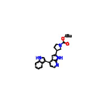 CC(C)(C)OC(=O)N1CCC(c2cc3c(-c4c[nH]c5ccccc45)ccnc3[nH]2)C1